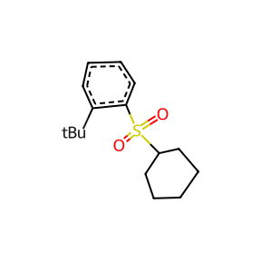 CC(C)(C)c1ccccc1S(=O)(=O)C1CCCCC1